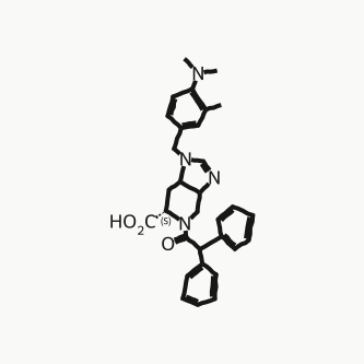 Cc1cc(CN2C=NC3CN(C(=O)C(c4ccccc4)c4ccccc4)[C@H](C(=O)O)CC32)ccc1N(C)C